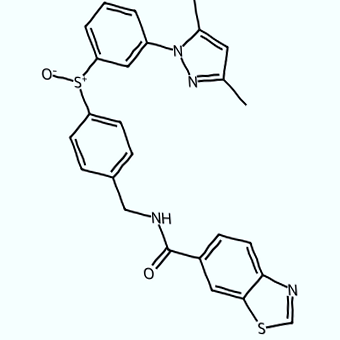 Cc1cc(C)n(-c2cccc([S+]([O-])c3ccc(CNC(=O)c4ccc5ncsc5c4)cc3)c2)n1